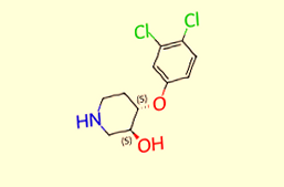 O[C@H]1CNCC[C@@H]1Oc1ccc(Cl)c(Cl)c1